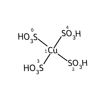 O=[S](=O)(O)[Cu]([S](=O)(=O)O)([S](=O)(=O)O)[S](=O)(=O)O